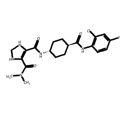 CN(C)C(=O)C1=C(C(=O)N[C@H]2CC[C@H](C(=O)Nc3ccc(F)cc3Cl)CC2)NCN1